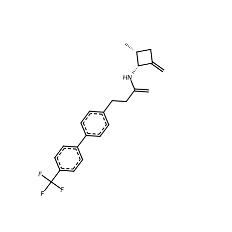 C=C(CCc1ccc(-c2ccc(C(F)(F)F)cc2)cc1)N[C@H]1C(=C)C[C@H]1C